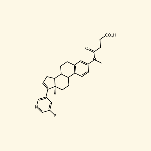 CN(C(=O)CCC(=O)O)c1ccc2c(c1)CCC1C2CC[C@]2(C)C(c3cncc(F)c3)=CCC12